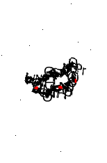 CC(C)OC(=O)CN1CCN(CC2CN(c3ccc(C(=N)NC(=O)OCc4ccccc4)cc3)C(=O)O2)CC1.CS(=O)(=O)OCC1CN(c2ccc(C(=N)NC(=O)OCc3ccccc3)cc2)C(=O)O1